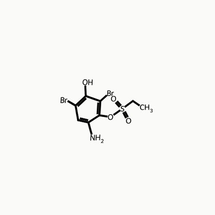 CCS(=O)(=O)Oc1c(N)cc(Br)c(O)c1Br